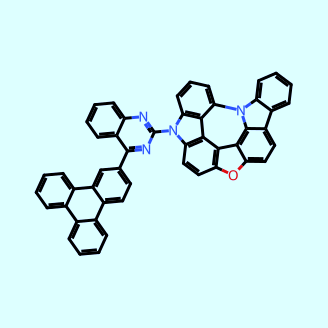 c1ccc2c(-c3ccc4c5ccccc5c5ccccc5c4c3)nc(-n3c4ccc5oc6ccc7c8ccccc8n8c9cccc3c9c4c5c6c78)nc2c1